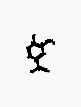 CC(=S)c1ccc(C)c(N)c1